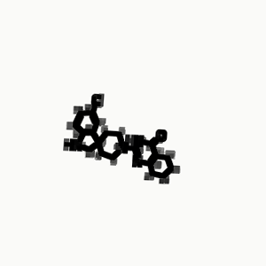 O=c1[nH]c(N2CCC3(CC2)CNc2ccc(Cl)cc23)nc2c1CCCC2